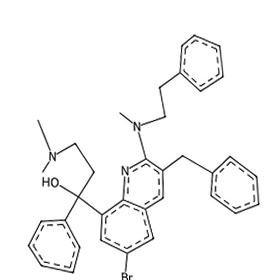 CN(C)CCC(O)(c1ccccc1)c1cc(Br)cc2cc(Cc3ccccc3)c(N(C)CCc3ccccc3)nc12